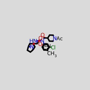 CC(=O)N1CCC(C(=O)N(CCCN2C3CCC2CC(NC(=O)OC(C)(C)C)C3)c2ccc(C)c(Cl)c2)CC1